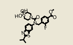 COC(=O)c1ccc(CN(C(=O)N2CCS(O)(O)CC2)c2ccc3nc(C(C)C)sc3c2)c(F)c1